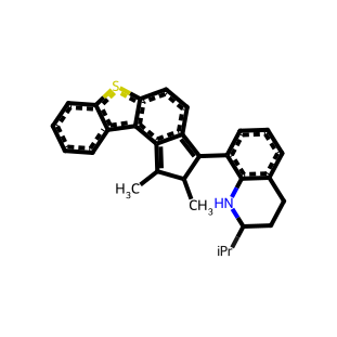 CC1=c2c(ccc3sc4ccccc4c23)=C(c2cccc3c2NC(C(C)C)CC3)C1C